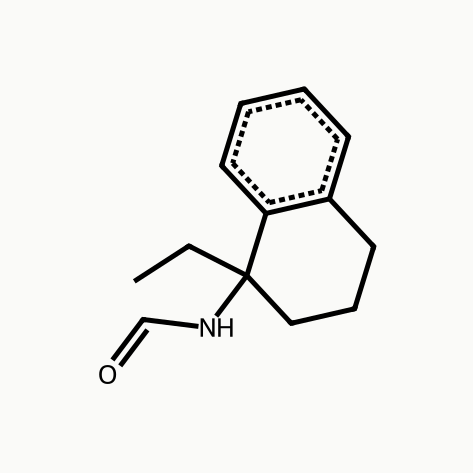 CCC1(NC=O)CCCc2ccccc21